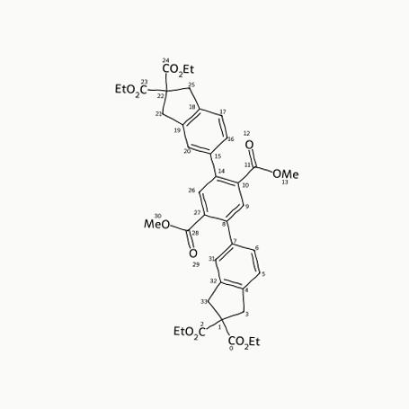 CCOC(=O)C1(C(=O)OCC)Cc2ccc(-c3cc(C(=O)OC)c(-c4ccc5c(c4)CC(C(=O)OCC)(C(=O)OCC)C5)cc3C(=O)OC)cc2C1